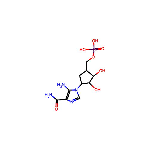 NC(=O)c1ncn(C2CC(COP(=O)(O)O)C(O)C2O)c1N